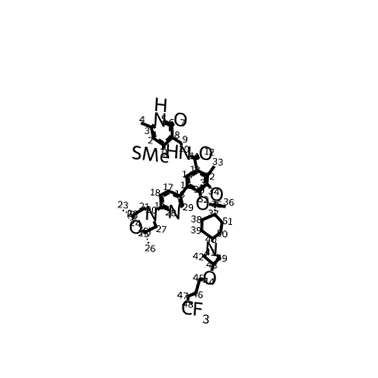 CSc1cc(C)[nH]c(=O)c1CNC(=O)c1cc(-c2ccc(N3C[C@@H](C)O[C@@H](C)C3)nc2)c2c(c1C)OC(C)([C@H]1CC[C@H](N3CC(OCCCC(F)(F)F)C3)CC1)O2